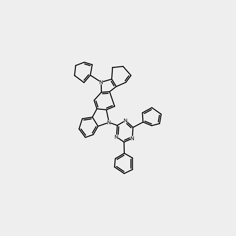 C1=CC(n2c3c(c4cc5c(cc42)c2ccccc2n5-c2nc(-c4ccccc4)nc(-c4ccccc4)n2)C=CCC3)=CCC1